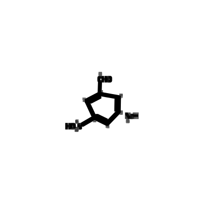 O=Cc1cccc(S(=O)(=O)O)c1.[NaH]